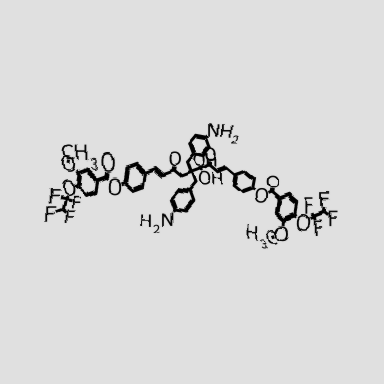 COc1cc(C(=O)Oc2ccc(C=CC(=O)CC(Cc3ccc(N)cc3)(Cc3ccc(N)cc3)C(O)(O)C(=O)C=Cc3ccc(OC(=O)c4ccc(OC(F)(F)C(F)F)c(OC)c4)cc3)cc2)ccc1OC(F)(F)C(F)F